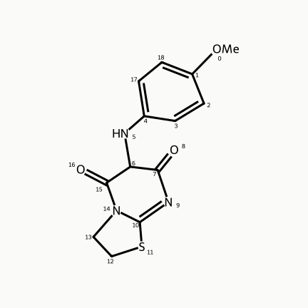 COc1ccc(NC2C(=O)N=C3SCCN3C2=O)cc1